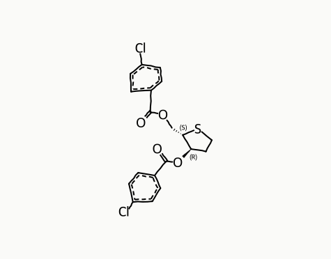 O=C(OC[C@@H]1SCC[C@H]1OC(=O)c1ccc(Cl)cc1)c1ccc(Cl)cc1